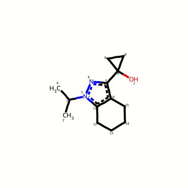 CC(C)n1nc(C2(O)CC2)c2c1CCCC2